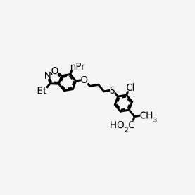 CCCc1c(OCCCSc2ccc(C(C)C(=O)O)cc2Cl)ccc2c(CC)noc12